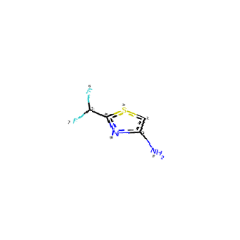 Nc1csc(C(F)F)n1